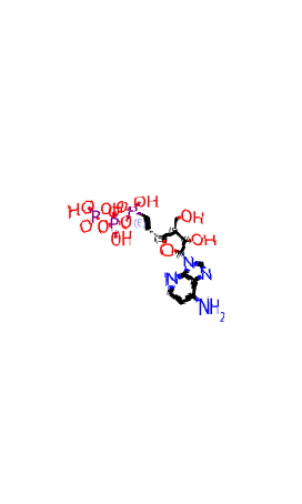 Nc1ccnc2c1ncn2[C@@H]1O[C@H](/C=C/P(=O)(O)OP(=O)(O)OP(=O)(O)O)[C@@H](CO)[C@H]1O